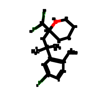 COc1ccc(F)cc1C(C)(C)CC1(C(F)F)CCCCO1